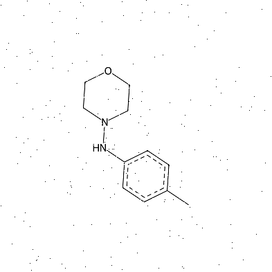 Cc1ccc(NN2CCOCC2)cc1